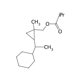 CC(C)C(=O)OCC1(C)CC1C(C)C1CCCCC1